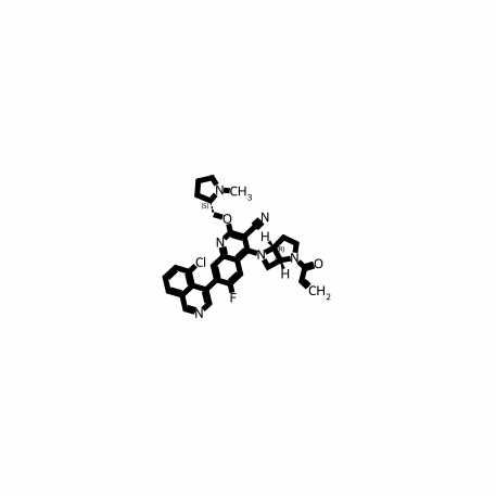 C=CC(=O)N1CC[C@@H]2[C@H]1CN2c1c(C#N)c(OC[C@@H]2CCCN2C)nc2cc(-c3cncc4cccc(Cl)c34)c(F)cc12